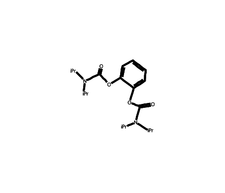 CC(C)N(C(=O)Oc1ccccc1OC(=O)N(C(C)C)C(C)C)C(C)C